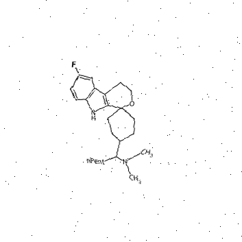 CCCCCC(C1CCC2(CC1)OCCc1c2[nH]c2ccc(F)cc12)N(C)C